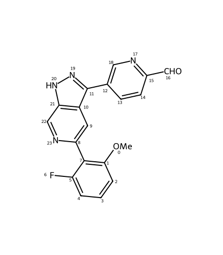 COc1cccc(F)c1-c1cc2c(-c3ccc(C=O)nc3)n[nH]c2cn1